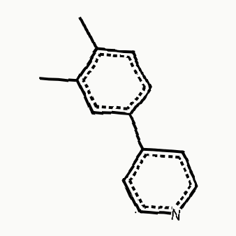 Cc1ccc(-c2c[c]ncc2)cc1C